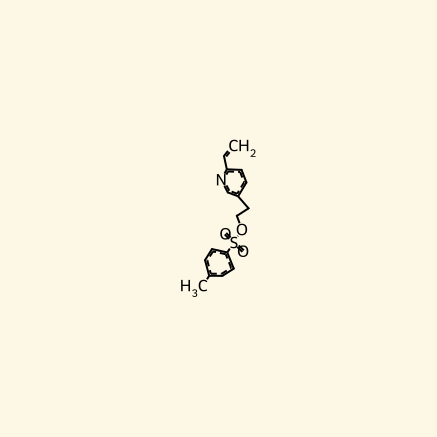 C=Cc1ccc(CCOS(=O)(=O)c2ccc(C)cc2)cn1